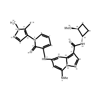 CNc1cc(Nc2cccn(-c3cnn(C)c3F)c2=O)nc2c(C(=O)N[C@H]3CC[C@@H]3OC)cnn12